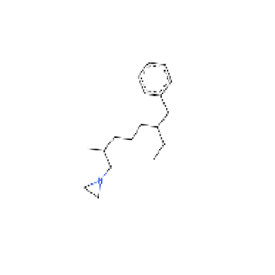 CCC(CCCC(C)CN1CC1)Cc1ccccc1